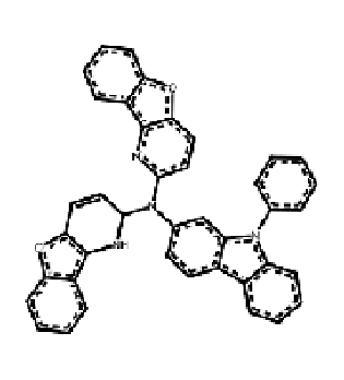 C1=CC(N(c2ccc3c4ccccc4n(-c4ccccc4)c3c2)c2ccc3oc4ccccc4c3n2)Nc2c1oc1ccccc21